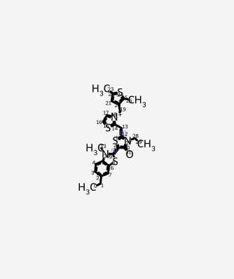 CCc1ccc2c(c1)S/C(=c1/s/c(=C\c3scc[n+]3Cc3cc(C)sc3C)n(CC)c1=O)N2C